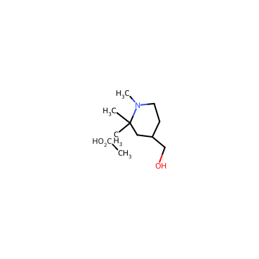 CC(=O)O.CN1CCC(CO)CC1(C)C